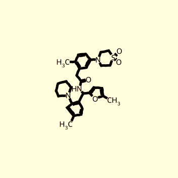 Cc1ccc(C(NC(=O)Cc2cc(N3CCS(=O)(=O)CC3)ccc2C)c2ccc(C)o2)c(N2CCCCC2)c1